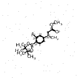 COC(=O)C[C@@H](C)c1ccc(B2OC(C)(C)C(C)(C)O2)c(F)c1